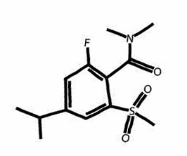 CC(C)c1cc(F)c(C(=O)N(C)C)c(S(C)(=O)=O)c1